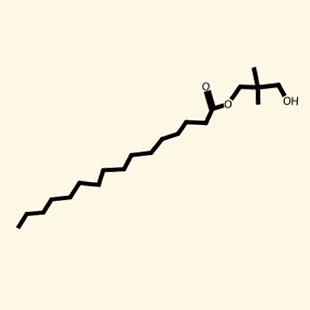 CCCCCCCCCCCCCCCC(=O)OCC(C)(C)CO